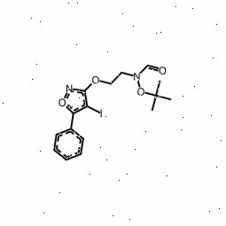 CC(C)(C)ON(C=O)CCOc1noc(-c2ccccc2)c1I